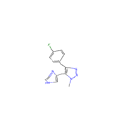 Cn1nnc(-c2ccc(F)cc2)c1-c1c[nH]cn1